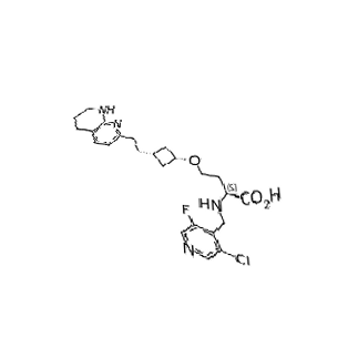 O=C(O)[C@H](CCO[C@H]1C[C@@H](CCc2ccc3c(n2)NCCC3)C1)NCc1c(F)cncc1Cl